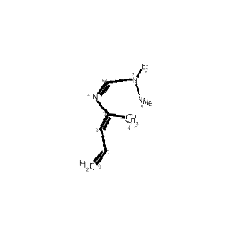 C=C/C=C(C)/N=C\N(CC)NC